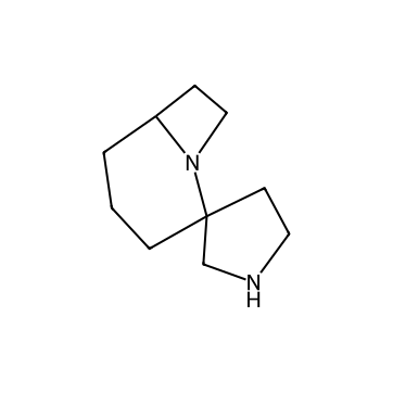 C1CC2CCN2C2(C1)CCNC2